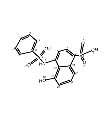 O=S(=O)(O)c1ccc(NS(=O)(=O)c2ccccc2)c2c(O)cccc12